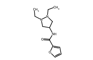 CCN1CC(NC(=O)c2ccco2)CN1CC